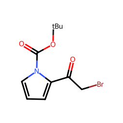 CC(C)(C)OC(=O)n1cccc1C(=O)CBr